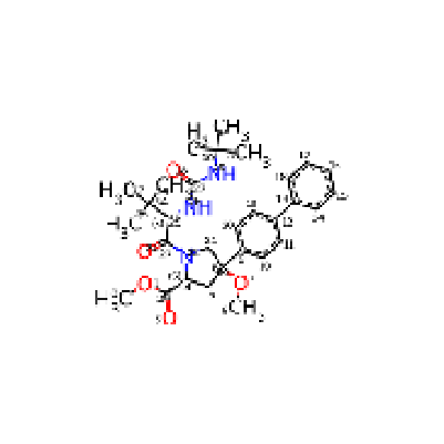 COC(=O)[C@@H]1C[C@@](OC)(c2ccc(-c3ccccc3)cc2)CN1C(=O)[C@@H](NC(=O)NC(C)(C)C)C(C)(C)C